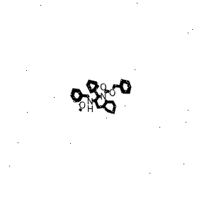 COc1ccccc1CNC1CC2CCCCC2N(C(=O)OCc2ccccc2)C1c1ccccc1